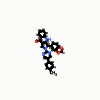 Cc1ccc(-c2cnc(N3Cc4c([nH]c5ccccc5c4=O)C3c3ccc4c(c3)OCO4)nc2)cc1